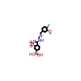 COc1cc(/C=N/CNC2=NS(=O)(=O)c3cc(B(O)O)ccc32)ccc1F